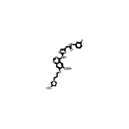 COc1cc2c(Nc3ncc(CC(=O)Nc4cccc(F)c4)s3)ncnc2cc1OCCCN1CCC(O)C1